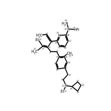 C/C=C(\C(CCc1ccc(CCN(CC)C2CCC2)cc1C)=C(\C)CC)c1cccc(N(N)CCC)n1